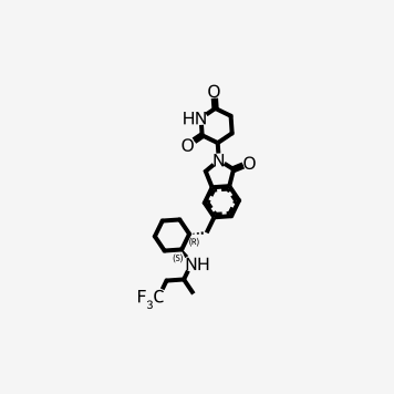 CC(CC(F)(F)F)N[C@H]1CCCC[C@@H]1Cc1ccc2c(c1)CN(C1CCC(=O)NC1=O)C2=O